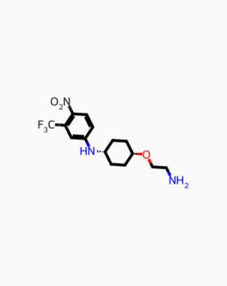 NCCO[C@H]1CC[C@H](Nc2ccc([N+](=O)[O-])c(C(F)(F)F)c2)CC1